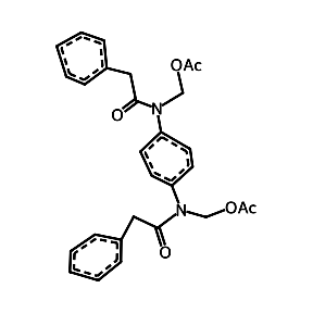 CC(=O)OCN(C(=O)Cc1ccccc1)c1ccc(N(COC(C)=O)C(=O)Cc2ccccc2)cc1